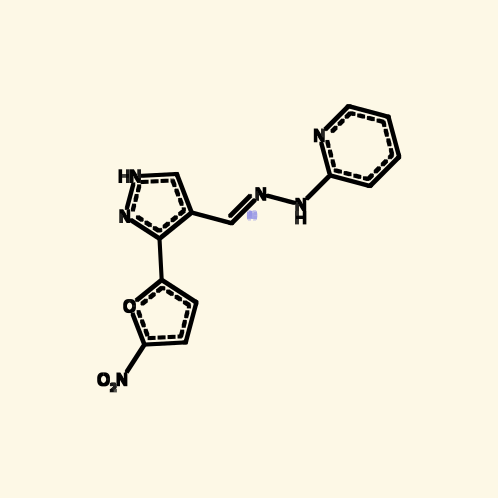 O=[N+]([O-])c1ccc(-c2n[nH]cc2/C=N/Nc2ccccn2)o1